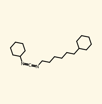 C(=NCCCCCCC1CCCCC1)=NC1CCCCC1